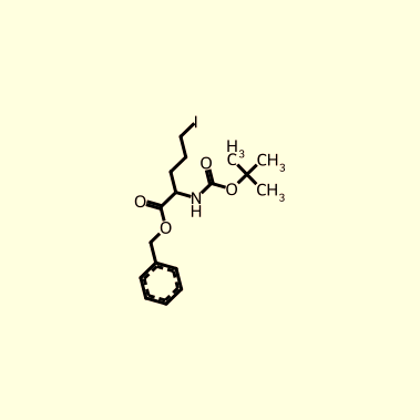 CC(C)(C)OC(=O)NC(CCCI)C(=O)OCc1ccccc1